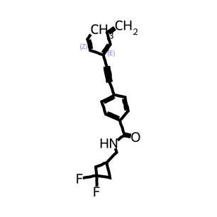 C=C/C=C(C#Cc1ccc(C(=O)NCC2CC(F)(F)C2)cc1)\C=C/C